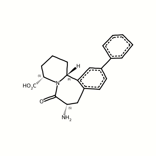 N[C@H]1Cc2ccc(-c3ccccc3)cc2[C@H]2CCC[C@@H](C(=O)O)N2C1=O